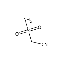 N#CCS(N)(=O)=O